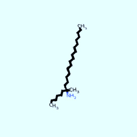 CCCCCCCCCCCCCCCCCC(C)(N)CCCCCC